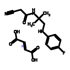 CC(C)(CNc1ccc(F)cc1)NC(=O)CC#N.O=C(O)/C=C/C(=O)O